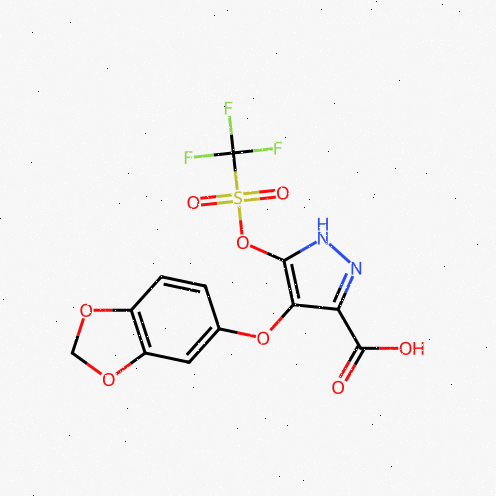 O=C(O)c1n[nH]c(OS(=O)(=O)C(F)(F)F)c1Oc1ccc2c(c1)OCO2